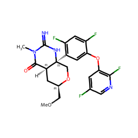 COC[C@H]1C[C@H]2C(=O)N(C)C(=N)N[C@@]2(c2cc(Oc3cc(F)cnc3F)c(F)cc2F)CO1